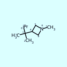 CC(C)C(C)(C)C1CN(C)C1